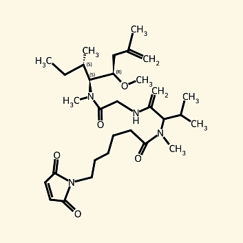 C=C(C)C[C@@H](OC)[C@H]([C@@H](C)CC)N(C)C(=O)CNC(=C)C(C(C)C)N(C)C(=O)CCCCCN1C(=O)C=CC1=O